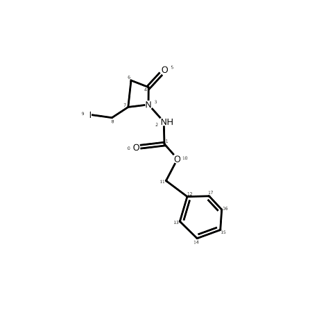 O=C(NN1C(=O)CC1CI)OCc1ccccc1